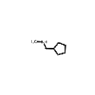 CN[CH]C1CCCC1